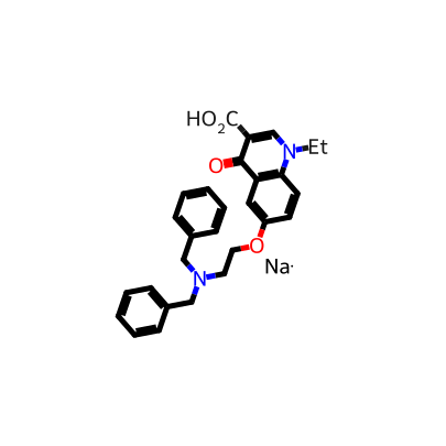 CCn1cc(C(=O)O)c(=O)c2cc(OCCN(Cc3ccccc3)Cc3ccccc3)ccc21.[Na]